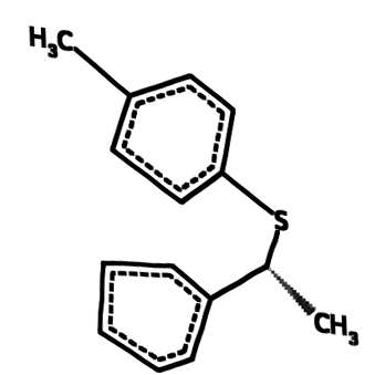 Cc1ccc(S[C@H](C)c2ccccc2)cc1